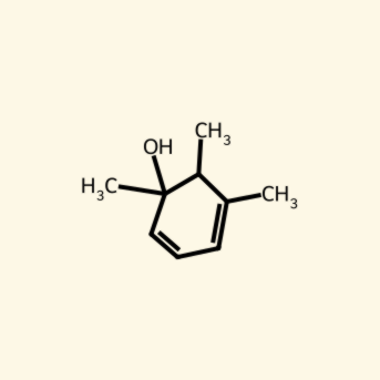 CC1=CC=CC(C)(O)C1C